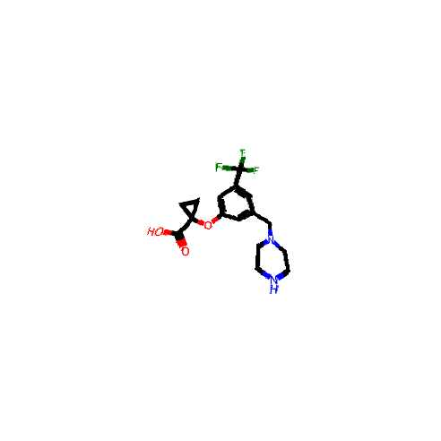 O=C(O)C1(Oc2cc(CN3CCNCC3)cc(C(F)(F)F)c2)CC1